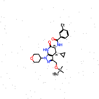 CCc1cccc(C(=O)N[C@H]2C(=O)Nc3c(c(CO[Si](C)(C)C(C)(C)C)nn3C3CCOCC3)[C@H]2C2CC2)c1